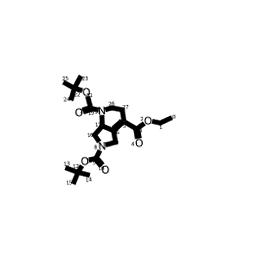 CCOC(=O)C1=C2CN(C(=O)OC(C)(C)C)CC2N(C(=O)OC(C)(C)C)CC1